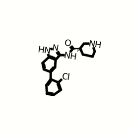 O=C(Nc1n[nH]c2ccc(-c3ccccc3Cl)cc12)[C@@H]1CCCNC1